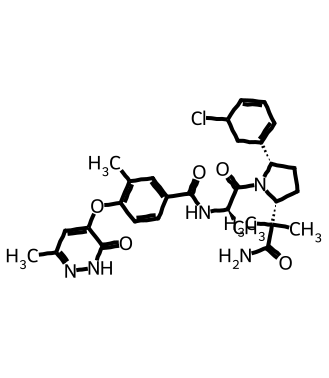 Cc1cc(Oc2ccc(C(=O)N[C@H](C)C(=O)N3[C@H](C4=CC=CC(Cl)C4)CC[C@@H]3C(C)(C)C(N)=O)cc2C)c(=O)[nH]n1